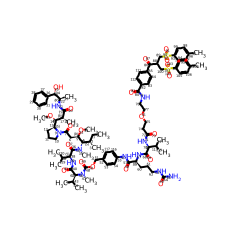 CC[C@H](C)[C@@H]([C@@H](CC(=O)N1CCC[C@H]1[C@H](OC)[C@@H](C)C(=O)N[C@H](C)[C@@H](O)c1ccccc1)OC)N(C)C(=O)[C@@H](NC(=O)[C@H](C(C)C)N(C)C(=O)OCc1ccc(NC(=O)[C@H](CCCNC(N)=O)NC(=O)[C@@H](NC(=O)CCOCCNC(=O)c2ccc(C(=O)C(CS(=O)(=O)c3ccc(C)cc3)CS(=O)(=O)c3ccc(C)cc3)cc2)C(C)C)cc1)C(C)C